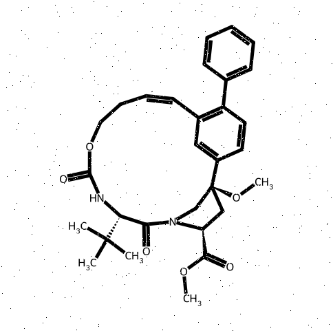 COC(=O)[C@@H]1C[C@]2(OC)CN1C(=O)[C@H](C(C)(C)C)NC(=O)OCCC=Cc1cc2ccc1-c1ccccc1